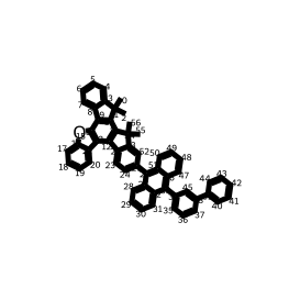 CC1(C)c2ccccc2-c2c1c1c(c3c2oc2ccccc23)-c2ccc(-c3c4ccccc4c(-c4cccc(-c5ccccc5)c4)c4ccccc34)cc2C1(C)C